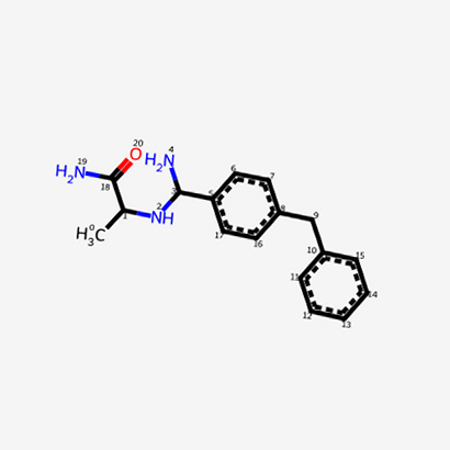 CC(NC(N)c1ccc(Cc2ccccc2)cc1)C(N)=O